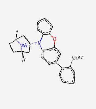 CC(=O)Nc1ccccc1-c1ccc2c(c1)Oc1ccccc1N2[C@H]1C[C@H]2CC[C@@H](C1)N2